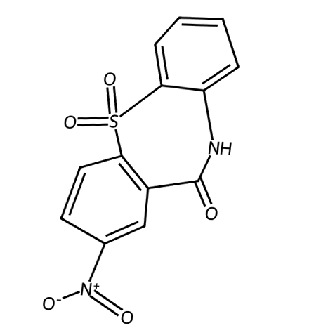 O=C1Nc2ccccc2S(=O)(=O)c2ccc([N+](=O)[O-])cc21